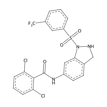 O=C(Nc1ccc2c(c1)N(S(=O)(=O)c1cccc(C(F)(F)F)c1)NC2)c1c(Cl)cccc1Cl